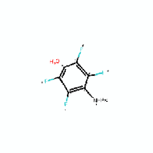 CC(=O)Nc1c(F)c(F)cc(F)c1F.O